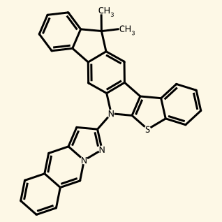 CC1(C)c2ccccc2-c2cc3c(cc21)c1c2ccccc2sc1n3-c1cc2cc3ccccc3cn2n1